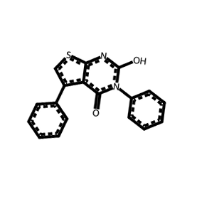 O=c1c2c(-c3ccccc3)csc2nc(O)n1-c1ccccc1